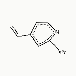 C=Cc1ccnc(CCC)c1